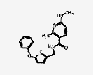 CNc1ccc(C(=O)NCc2ccc(Oc3ccccc3)s2)c(N)n1